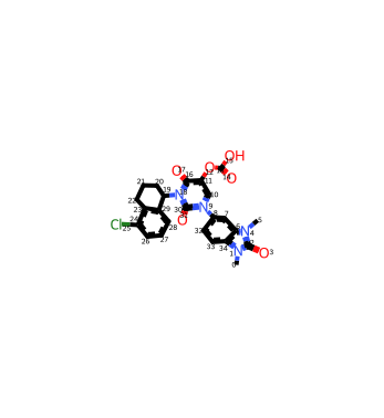 Cn1c(=O)n(C)c2cc(-n3cc(OC(=O)O)c(=O)n(C4CCCc5c(Cl)cccc54)c3=O)ccc21